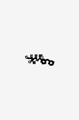 O=C(OC(c1cccc(Cc2ccccc2)c1)C(F)(F)F)C1C(Cl)(Cl)C1(Cl)CCl